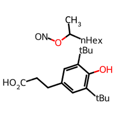 CC(C)(C)c1cc(CCC(=O)O)cc(C(C)(C)C)c1O.CCCCCCC(C)ON=O